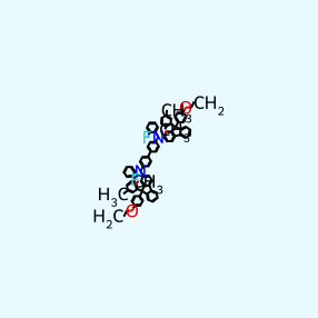 C=CCOc1ccc(C2(c3cc(C)ccc3C)c3ccccc3-c3ccc(N(c4ccc(-c5ccc(N(c6ccc7c(c6)C(c6ccc(OCC=C)cc6)(c6cc(C)ccc6C)c6ccccc6-7)c6ccccc6F)cc5)cc4)c4ccccc4F)cc32)cc1